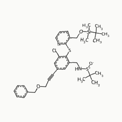 CC(C)(C)[S+]([O-])NCc1cc(C#CCOCc2ccccc2)cc(Cl)c1Sc1ncccc1CO[Si](C)(C)C(C)(C)C